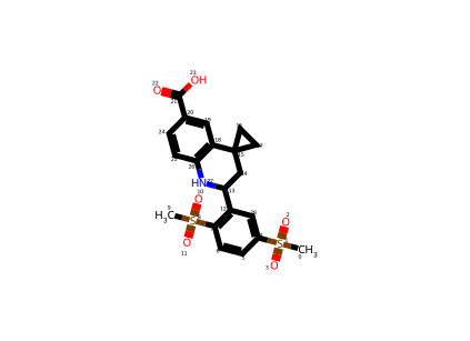 CS(=O)(=O)c1ccc(S(C)(=O)=O)c(C2CC3(CC3)c3cc(C(=O)O)ccc3N2)c1